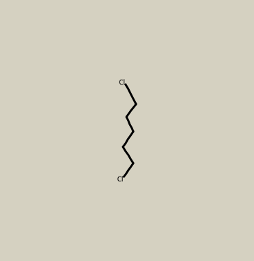 ClCCCCCCl